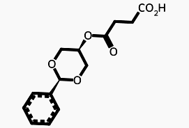 O=C(O)CCC(=O)O[C@H]1CO[C@@H](c2ccccc2)OC1